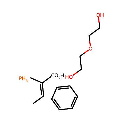 CC=C(C)C(=O)O.OCCOCCO.P.c1ccccc1